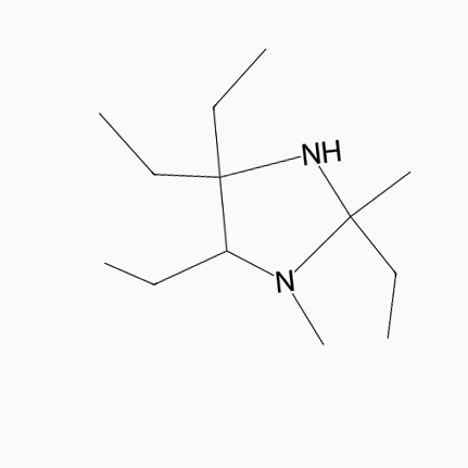 CCC1N(C)C(C)(CC)NC1(CC)CC